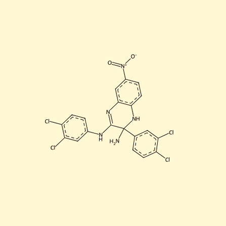 NC1(c2ccc(Cl)c(Cl)c2)Nc2ccc([N+](=O)[O-])cc2N=C1Nc1ccc(Cl)c(Cl)c1